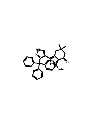 CSc1sc(-c2c[nH]nc2C(c2ccccc2)(c2ccccc2)c2ccccc2)c2c1C(=O)CC(C)(C)C2